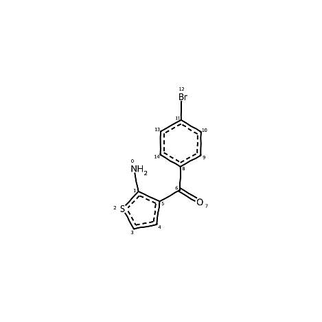 Nc1sccc1C(=O)c1ccc(Br)cc1